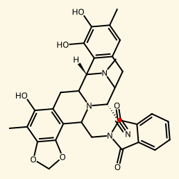 Cc1cc2c(c(O)c1O)[C@H]1C3Cc4c(O)c(C)c5c(c4C(CN4C(=O)c6ccccc6C4=O)N3[C@@H](C#N)C(C2)N1C)OCO5